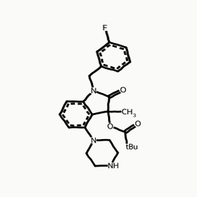 CC(C)(C)C(=O)OC1(C)C(=O)N(Cc2cccc(F)c2)c2cccc(N3CCNCC3)c21